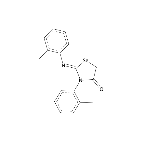 Cc1ccccc1/N=C1\[Se]CC(=O)N1c1ccccc1C